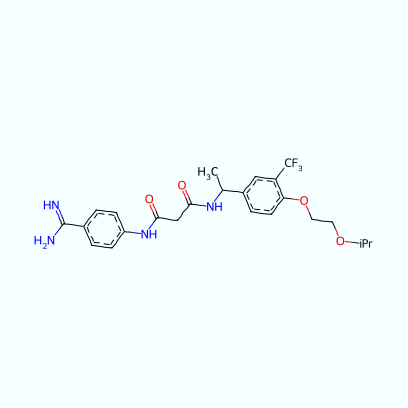 CC(C)OCCOc1ccc(C(C)NC(=O)CC(=O)Nc2ccc(C(=N)N)cc2)cc1C(F)(F)F